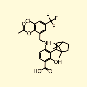 CC(=O)Oc1c(Cl)cc(C(F)(F)F)cc1CNc1ccc(C(=O)O)c(O)c1C1CC2CCC1(C)C2(C)C